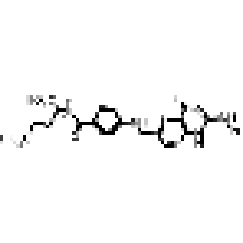 CC(C)Nc1nc(=O)c2nc(CNc3ccc(C(=O)N[C@@H](CCC(=O)O)C(=O)O)cc3)cnc2[nH]1